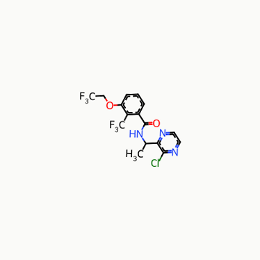 CC(NC(=O)c1cccc(OCC(F)(F)F)c1C(F)(F)F)c1nccnc1Cl